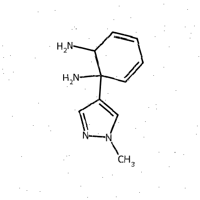 Cn1cc(C2(N)C=CC=CC2N)cn1